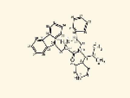 CC(C)C(C1CCNCC1)N(C[C@H](N)c1ccccc1)C(=O)OCC1c2ccccc2-c2ccccc21